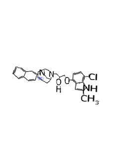 Cc1cc2c(OCC(O)CN3CC4C/C=C\CC3CN4c3ccc4ccccc4c3)ccc(Cl)c2[nH]1